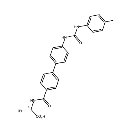 CC(C)[C@H](NC(=O)c1ccc(-c2ccc(NC(=O)Nc3ccc(F)cc3)cc2)cc1)C(=O)O